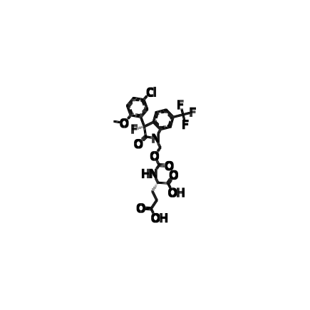 COc1ccc(Cl)cc1[C@]1(F)C(=O)N(COC(=O)N[C@@H](CCC(=O)O)C(=O)O)c2cc(C(F)(F)F)ccc21